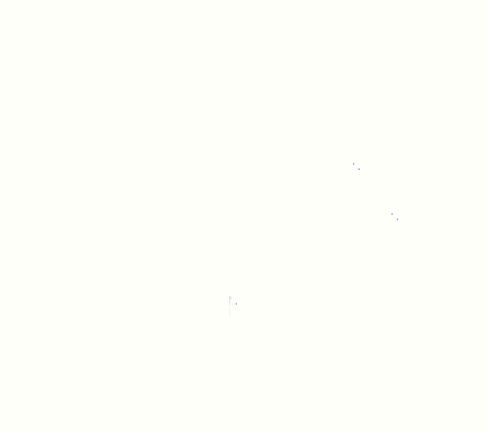 c1ccc(-c2ccc(Nc3ccc(C4N=c5ccccc5=N4)cc3)cc2)cc1